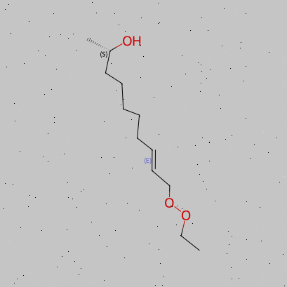 CCOOC/C=C/CCCCC[C@H](C)O